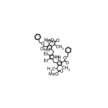 CCc1c(Cc2[nH]c(C(=O)OCc3ccccc3)c(C)c2C(C)C(=O)OC)[nH]c(Cc2[nH]c(C(=O)OCc3ccccc3)c(C)c2C(C)C(=O)OC)c1CC